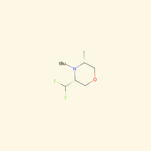 C[C@@H]1COC[C@H](C(F)F)N1C(C)(C)C